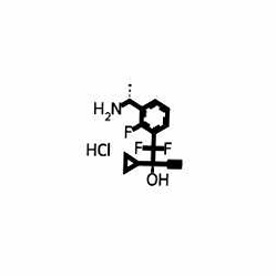 C#C[C@](O)(C1CC1)C(F)(F)c1cccc([C@@H](C)N)c1F.Cl